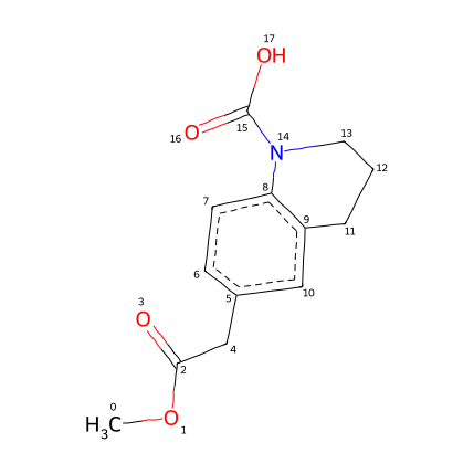 COC(=O)Cc1ccc2c(c1)CCCN2C(=O)O